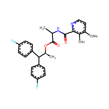 COc1ccnc(C(=O)NC(C)C(=O)O[C@@H](C)C(c2ccc(F)cc2)c2ccc(F)cc2)c1OC(C)=O